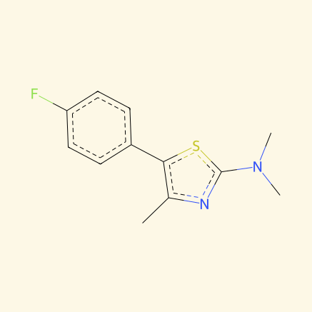 Cc1nc(N(C)C)sc1-c1ccc(F)cc1